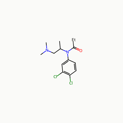 CCC(=O)N(c1ccc(Cl)c(Cl)c1)C(C)CN(C)C